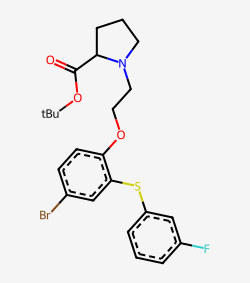 CC(C)(C)OC(=O)C1CCCN1CCOc1ccc(Br)cc1Sc1cccc(F)c1